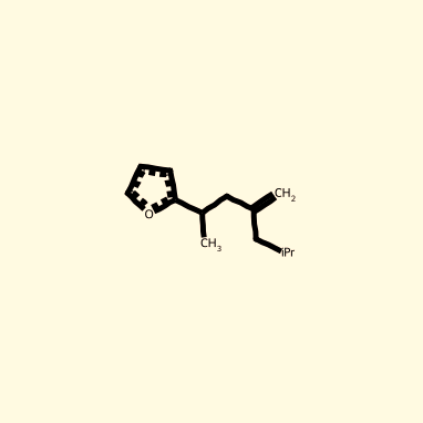 C=C(CC(C)C)CC(C)c1ccco1